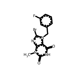 Cn1c(=O)[nH]c(=O)c2c1nc(Br)n2Cc1cccc(F)c1